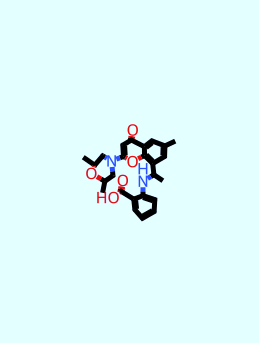 Cc1cc(C(C)Nc2ccccc2C(=O)O)c2oc(N3CC(C)OC(C)C3)cc(=O)c2c1